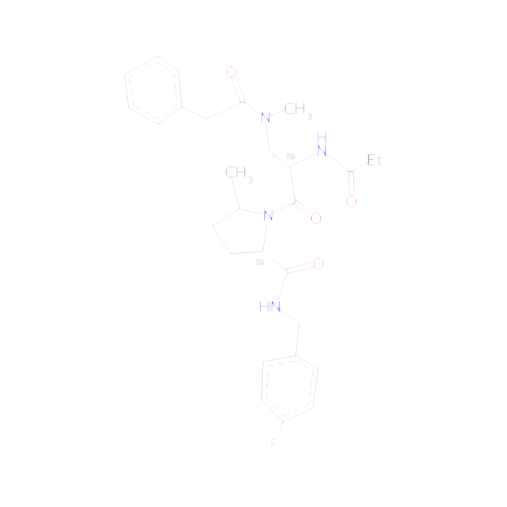 CCC(=O)N[C@@H](CN(C)C(=O)Cc1ccccc1)C(=O)N1C(C)CC[C@H]1C(=O)NCc1ccc(F)cc1